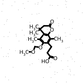 COCOc1c(C)c2c(c(C)c1CCC(=O)O)OC(=O)CC2(C)C